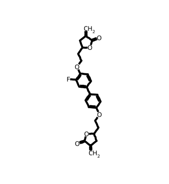 C=C1CC(CCOc2ccc(-c3ccc(OCCC4CC(=C)C(=O)O4)c(F)c3)cc2)OC1=O